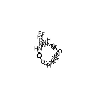 C[C@@H]1COc2ccc(cc2)CNc2nc(nc(OCC(F)(F)F)n2)Nc2ccc(cc2)C(=O)N2CC3(C)CN(C1)CC(C)(C2)C3